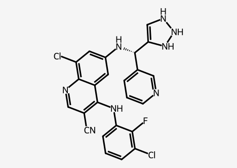 N#Cc1cnc2c(Cl)cc(N[C@H](C3=CNNN3)c3cccnc3)cc2c1Nc1cccc(Cl)c1F